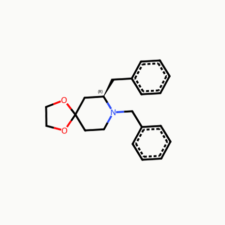 c1ccc(C[C@@H]2CC3(CCN2Cc2ccccc2)OCCO3)cc1